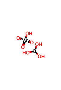 OB(O)O.[O]=[Mn](=[O])(=[O])[OH]